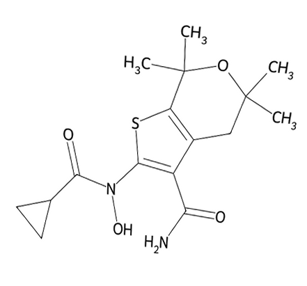 CC1(C)Cc2c(sc(N(O)C(=O)C3CC3)c2C(N)=O)C(C)(C)O1